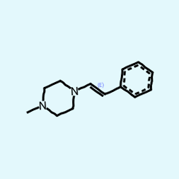 CN1CCN(/C=C/c2ccccc2)CC1